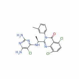 Cc1cccc(-n2c([C@H](C)Nc3nc(N)nc(N)c3Cl)nc3c(Cl)ccc(Cl)c3c2=O)c1